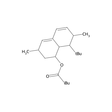 CCC(C)C(=O)OC1CC(C)C=C2C=CC(C)C(C(C)(C)C)C21